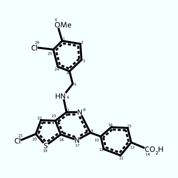 COc1ccc(CNc2nc(-c3ccc(C(=O)O)cc3)nc3sc(Cl)cc23)cc1Cl